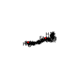 CCc1cc(Nc2ncc(Br)c(Nc3ccc4nc(C)ccc4c3P(C)(C)=O)n2)c(OC)cc1N1CCC(N2CCN(CCc3ccn4cc(C5CCC(=O)NC5=O)nc4c3)CC2)CC1